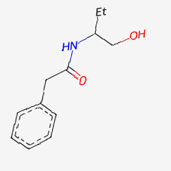 CCC(CO)NC(=O)Cc1ccccc1